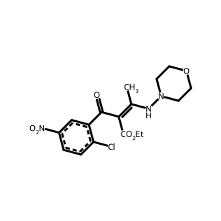 CCOC(=O)/C(C(=O)c1cc([N+](=O)[O-])ccc1Cl)=C(/C)NN1CCOCC1